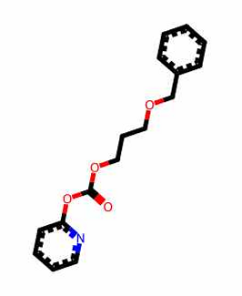 O=C(OCCCOCc1ccccc1)Oc1ccccn1